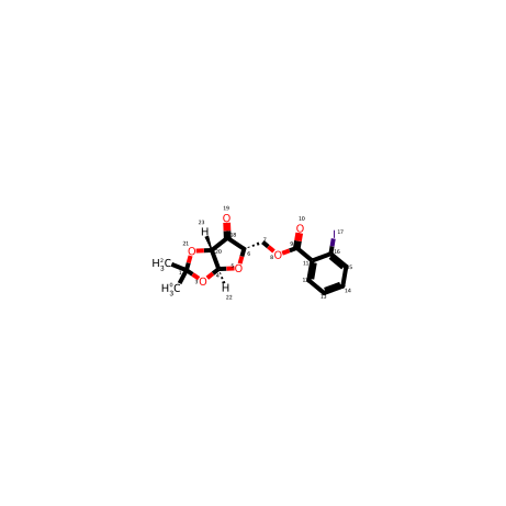 CC1(C)O[C@@H]2O[C@@H](COC(=O)c3ccccc3I)C(=O)[C@H]2O1